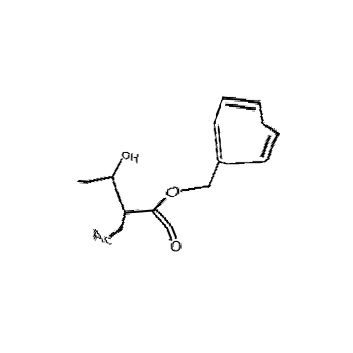 CC(=O)C(C(=O)OCc1ccccc1)C(C)O